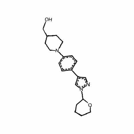 OCC1CCN(c2ccc(-c3cnn(C4CCCCO4)c3)cc2)CC1